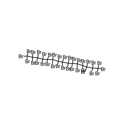 BrC(Br)(Br)C(Br)(Br)C(Br)(Br)C(Br)(Br)C(Br)(Br)C(Br)(Br)C(Br)(Br)C(Br)(Br)C(Br)(Br)C(Br)(Br)C(Br)(Br)C(Br)(Br)C(Br)(Br)C(Br)(Br)C(Br)(Br)Br